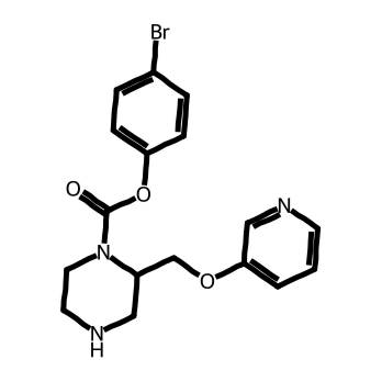 O=C(Oc1ccc(Br)cc1)N1CCNCC1COc1cccnc1